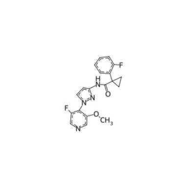 COc1cncc(F)c1-n1ccc(NC(=O)C2(c3ccccc3F)CC2)n1